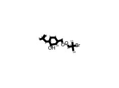 C=C(C)CC1CCC(COOCC(C)(C)Br)CC1O